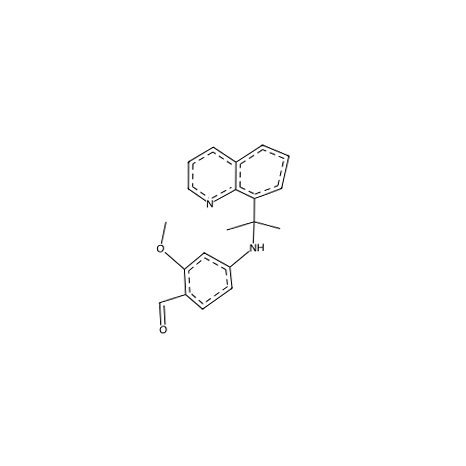 COc1cc(NC(C)(C)c2cccc3cccnc23)ccc1C=O